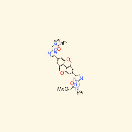 CCCC(=O)N(CCC)Cc1ncc(-c2cc3c4c(c2)OCc2cc(-c5cnc(CN(CCC)C(=O)COC)[nH]5)cc(c2-4)OC3)[nH]1